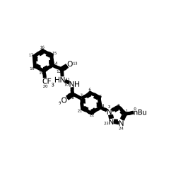 CCCCc1cn(-c2ccc(C(=O)NNC(=O)c3ccccc3C(F)(F)F)cc2)nn1